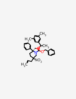 C=CC[C@]1([N+](=O)[O-])CC[C@@](CO[C@H](C)c2cc(C)cc(C)c2)(c2ccccc2)N(C(=O)OCc2ccccc2)C1